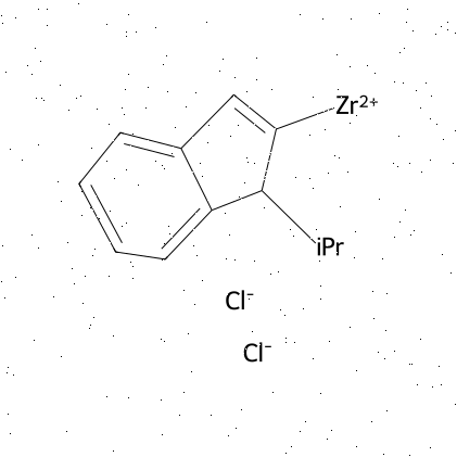 CC(C)C1[C]([Zr+2])=Cc2ccccc21.[Cl-].[Cl-]